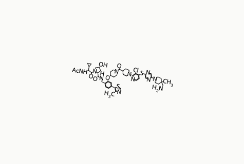 CC(=O)N[C@H](C(=O)N1C[C@H](O)C[C@H]1C(=O)NCc1ccc(-c2scnc2C)cc1OC1CCN(C(=O)C2CCN(c3nccc(Sc4cnc(N5CCC(C)(CN)CC5)cn4)c3Cl)CC2)CC1)C1CC1